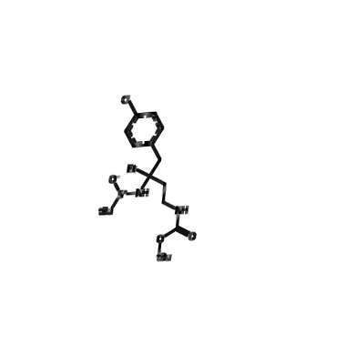 CCC(CCNC(=O)OC(C)(C)C)(Cc1ccc(Cl)cc1)N[S+]([O-])C(C)(C)C